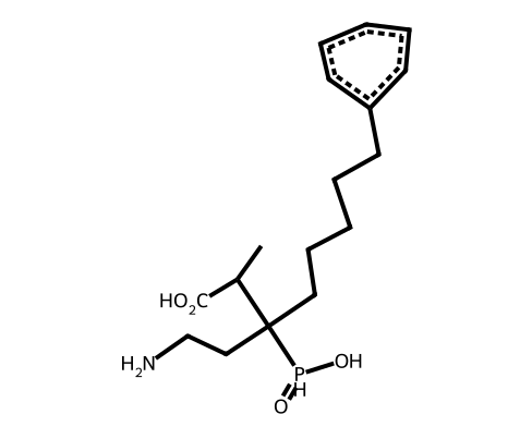 CC(C(=O)O)C(CCN)(CCCCCc1ccccc1)[PH](=O)O